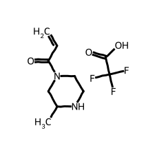 C=CC(=O)N1CCNC(C)C1.O=C(O)C(F)(F)F